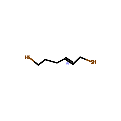 SC/C=C/CCCS